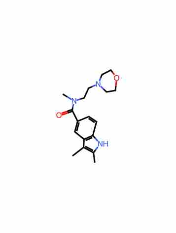 Cc1[nH]c2ccc(C(=O)N(C)CCN3CCOCC3)cc2c1C